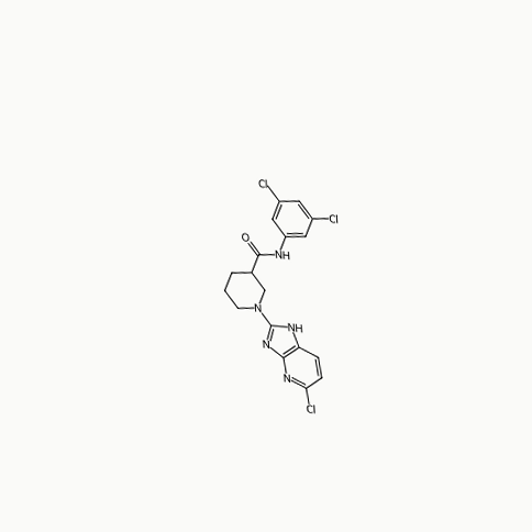 O=C(Nc1cc(Cl)cc(Cl)c1)C1CCCN(c2nc3nc(Cl)ccc3[nH]2)C1